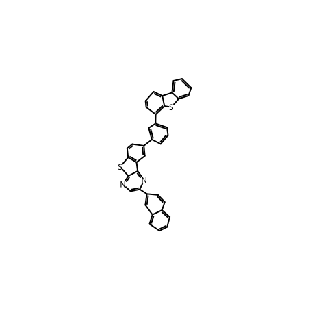 c1cc(-c2ccc3sc4ncc(-c5ccc6ccccc6c5)nc4c3c2)cc(-c2cccc3c2sc2ccccc23)c1